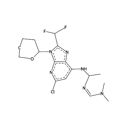 CC(/N=C\N(C)C)Nc1cc(Cl)nc2c1nc(C(F)F)n2C1CCCCO1